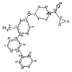 Cc1cc(OC2CCN(C(=O)C3CC3)CC2)ccc1-c1cccc(-c2ccccn2)c1